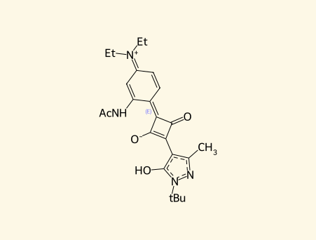 CC[N+](CC)=C1C=C/C(=C2\C(=O)C(c3c(C)nn(C(C)(C)C)c3O)=C2[O-])C(NC(C)=O)=C1